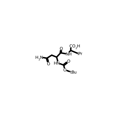 CC(C)C(NC(=O)C(CC(N)=O)NC(=O)OC(C)(C)C)C(=O)O